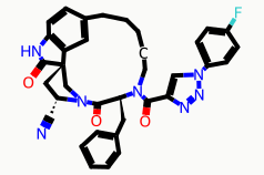 N#C[C@@H]1C[C@]23CN1C(=O)[C@H](Cc1ccccc1)N(C(=O)c1cn(-c4ccc(F)cc4)nn1)CCCCCc1ccc(c2c1)NC3=O